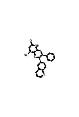 N#Cc1cc(=O)[nH]c2nc(-c3ccccc3)c(-c3ccc4ncccc4c3)nc12